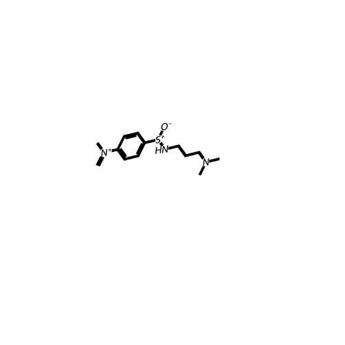 C=[N+](C)c1ccc([S+]([O-])NCCCN(C)C)cc1